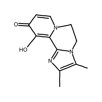 Cc1nc2n(c1C)CCn1ccc(=O)c(O)c1-2